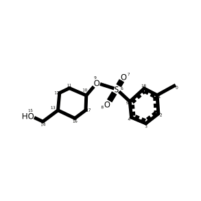 Cc1cccc(S(=O)(=O)OC2CCC(CO)CC2)c1